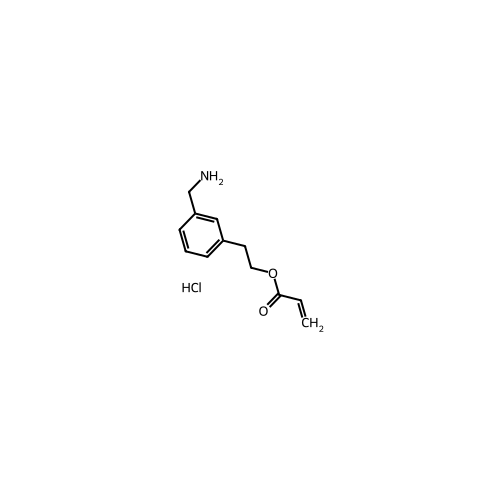 C=CC(=O)OCCc1cccc(CN)c1.Cl